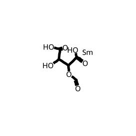 O=COC(C(=O)O)C(O)C(=O)O.[Sm]